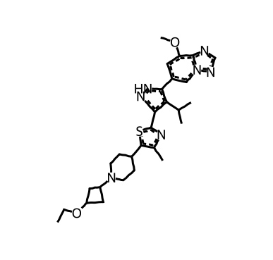 CCOC1CC(N2CCC(c3sc(-c4n[nH]c(-c5cc(OC)c6ncnn6c5)c4C(C)C)nc3C)CC2)C1